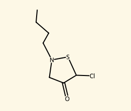 CCCCN1CC(=O)C(Cl)S1